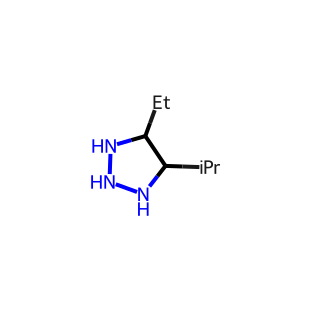 CCC1NNNC1C(C)C